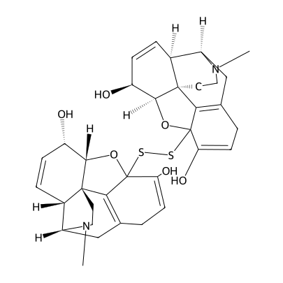 CN1CC[C@]23C4=C5CC=C(O)C4(SSC46O[C@H]7[C@@H](O)C=C[C@H]8[C@H]9CC(=C4[C@]87CCN9C)CC=C6O)O[C@H]2[C@@H](O)C=C[C@H]3[C@H]1C5